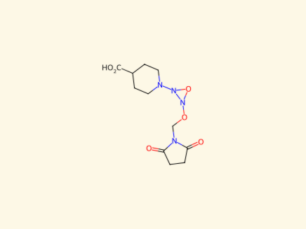 O=C(O)C1CCN(n2on2OCN2C(=O)CCC2=O)CC1